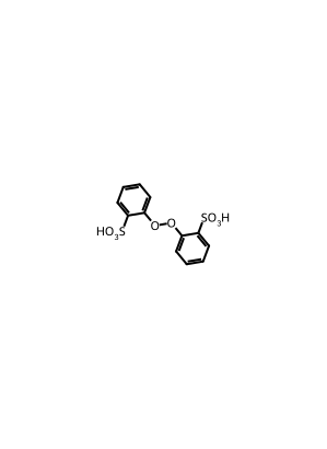 O=S(=O)(O)c1ccccc1OOc1ccccc1S(=O)(=O)O